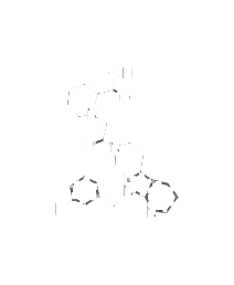 O=C(O)C1CCCCN1CC(=O)N1CCc2c(n(Cc3cccc(F)c3)c3ncccc23)C1